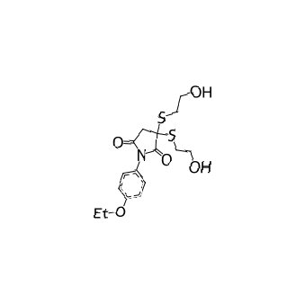 CCOc1ccc(N2C(=O)CC(SCCO)(SCCO)C2=O)cc1